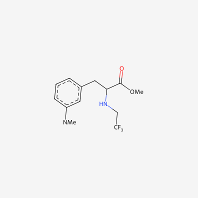 CNc1cccc(CC(NCC(F)(F)F)C(=O)OC)c1